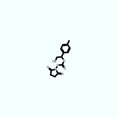 [C-]#[N+]CC(OC(=O)ON1C(=O)CCC1=O)c1ccc(C)cc1